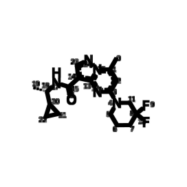 Cc1cc(N2CCCC(F)(F)C2)nc2c(C(=O)N[C@@H](C)C3CC3)cnn12